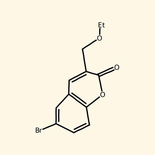 CCOCc1cc2cc(Br)ccc2oc1=O